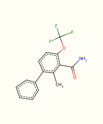 Cc1c(-c2ccccc2)ccc(OC(F)(F)F)c1C(N)=O